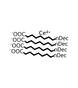 CCCCCCCCCCCCCCCCCC(=O)[O-].CCCCCCCCCCCCCCCCCC(=O)[O-].CCCCCCCCCCCCCCCCCC(=O)[O-].CCCCCCCCCCCCCCCCCC(=O)[O-].[Ce+4]